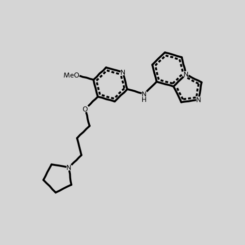 COc1cnc(Nc2cccn3cncc23)cc1OCCCN1CCCC1